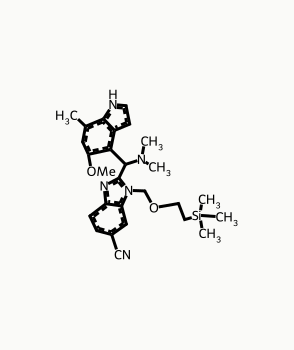 COc1cc(C)c2[nH]ccc2c1C(c1nc2ccc(C#N)cc2n1COCC[Si](C)(C)C)N(C)C